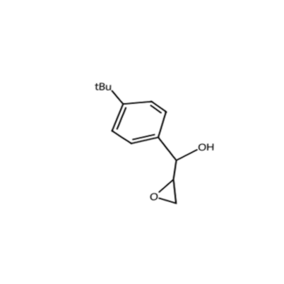 CC(C)(C)c1ccc(C(O)C2CO2)cc1